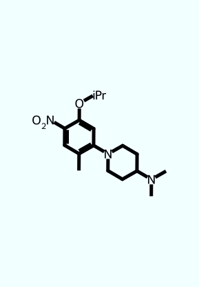 Cc1cc([N+](=O)[O-])c(OC(C)C)cc1N1CCC(N(C)C)CC1